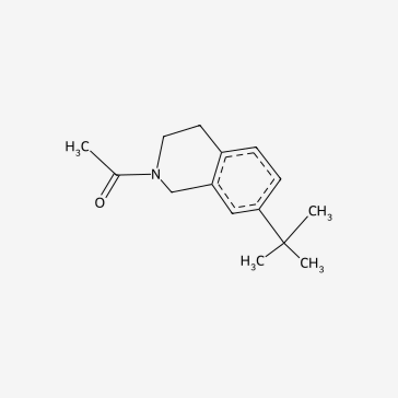 CC(=O)N1CCc2ccc(C(C)(C)C)cc2C1